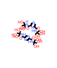 O=C(NC(CO)(CO)CO)c1cnc(C(=O)NC(CO)(CO)CO)cn1.O=C(NC(CO)(CO)CO)c1cncc(C(=O)NC(CO)(CO)CO)n1